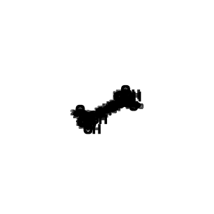 C=COC(=O)CC(COc1ccc(C(C)(C)c2ccc(OCC(COC(=O)C=C)C(OO)C3CCCCC3C(=O)O)cc2)cc1)C(OO)C1CCCCC1C(=O)O